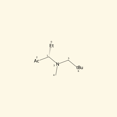 CC[C@@H](C(C)=O)N(C)CC(C)(C)C